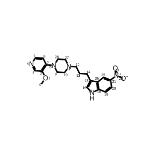 COc1cnccc1N1CCN(CCCc2c[nH]c3ccc([N+](=O)[O-])cc23)CC1